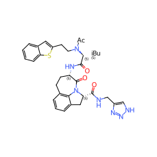 CC[C@H](C)[C@@H](C(=O)N[C@H]1CCc2cccc3c2N(C1=O)[C@H](C(=O)NCc1c[nH]nn1)C3)N(CCc1cc2ccccc2s1)C(C)=O